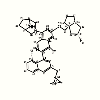 Fc1c(-c2cc(C[C@H]3CN3)cc3cccc(F)c23)ncc2c(N3CC4CCC(C3)N4)nc(OC[C@@]34CCCN3C[C@H](F)C4)nc12